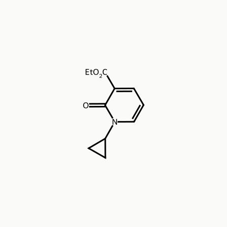 CCOC(=O)c1cccn(C2CC2)c1=O